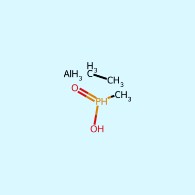 CC.C[PH](=O)O.[AlH3]